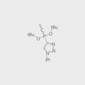 C=C=P(OC(C)(C)C)(OC(C)(C)C)c1cn(C(C)C)nn1